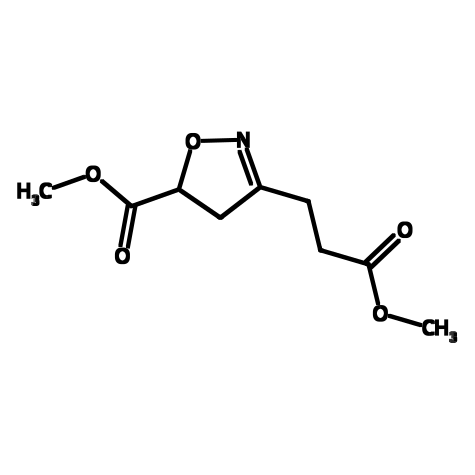 COC(=O)CCC1=NOC(C(=O)OC)C1